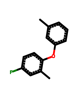 Cc1cccc(Oc2ccc(F)cc2C)c1